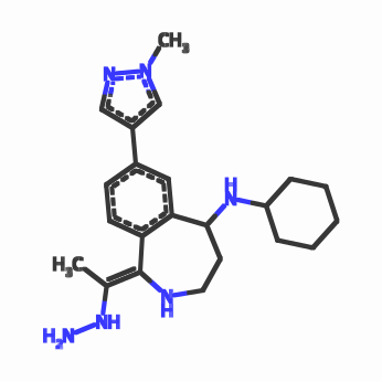 C/C(NN)=C1/NCCC(NC2CCCCC2)c2cc(-c3cnn(C)c3)ccc21